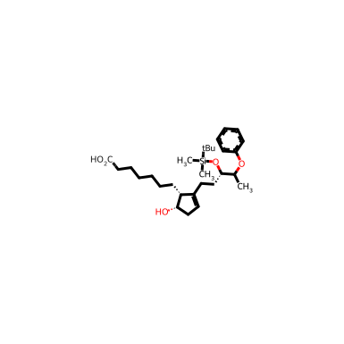 CC(Oc1ccccc1)[C@H](CCC1=CC[C@H](O)[C@@H]1CCCCCCC(=O)O)O[Si](C)(C)C(C)(C)C